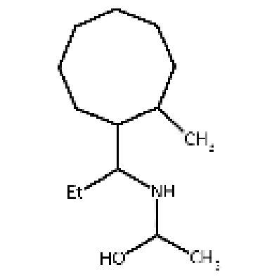 CCC(NC(C)O)C1CCCCCCC1C